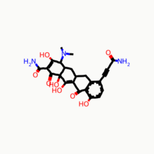 CN(C)C1C(O)=C(C(N)=O)C(=O)C2(O)C(O)=C3C(=O)c4c(O)ccc(C#CC(N)=O)c4CC3CC12